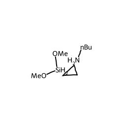 C1CC1.CCCCN.CO[SiH2]OC